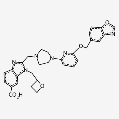 O=C(O)c1ccc2nc(CN3CCN(c4cccc(OCc5ccc6ocnc6c5)n4)CC3)n(CC3CCO3)c2c1